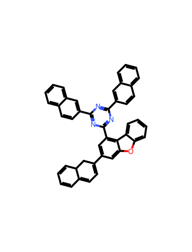 C1=CC2=CC=C(c3cc(-c4nc(-c5ccc6ccccc6c5)nc(-c5ccc6ccccc6c5)n4)c4c(c3)oc3ccccc34)CC2C=C1